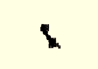 CC[C@H](N)C(=O)N1CCC[C@H]1c1ncc(-c2ccc(C#Cc3ccc(-c4cnc([C@@H]5CCCN5)[nH]4)cc3)cc2)[nH]1